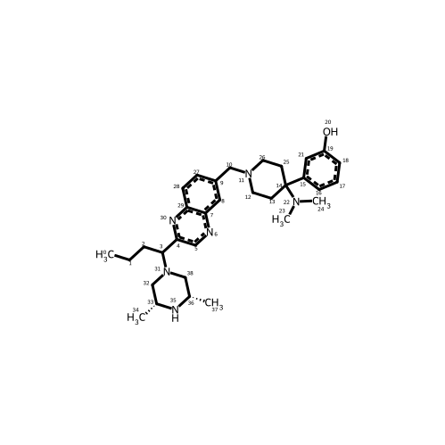 CCCC(c1cnc2cc(CN3CCC(c4cccc(O)c4)(N(C)C)CC3)ccc2n1)N1C[C@@H](C)N[C@@H](C)C1